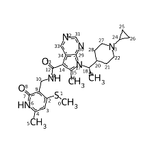 CSc1cc(C)[nH]c(=O)c1CNC(=O)c1c(C)n([C@H](C)C2CCN(C3CC3)CC2)c2ncncc12